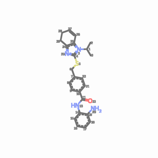 CC(C)n1c(SCc2ccc(C(=O)Nc3ccccc3N)cc2)nc2c1C=CCC2